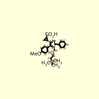 COc1ccc(-c2c([C@H]3C[C@@H]3C(=O)O)nc(-c3ccccc3)n2COCC[Si](C)(C)C)cc1